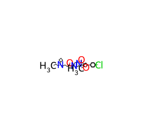 CCCN(CCCC(=O)CN1CCN(C(=O)c2cc(-c3ccc(Cl)cc3)oc2C)CC1)C1CCC1